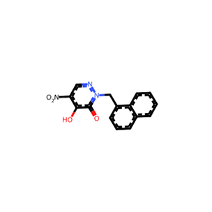 O=c1c(O)c([N+](=O)[O-])cnn1Cc1cccc2ccccc12